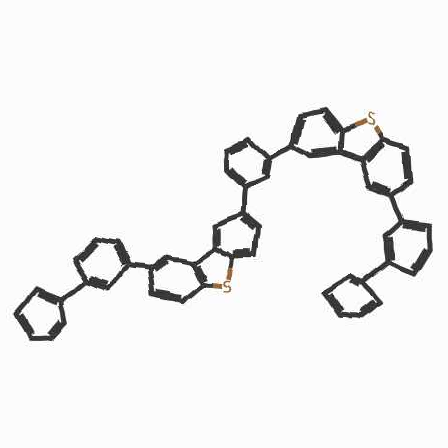 c1ccc(-c2cccc(-c3ccc4sc5ccc(-c6cccc(-c7ccc8sc9ccc(-c%10cccc(-c%11ccccc%11)c%10)cc9c8c7)c6)cc5c4c3)c2)cc1